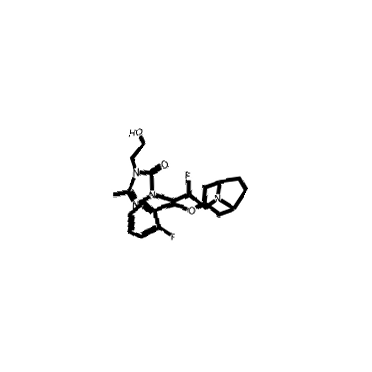 Cc1nn(CC(F)CN2C3CCC2CC(OCc2ccccc2F)C3)c(=O)n1CCO